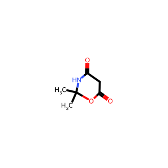 CC1(C)NC(=O)CC(=O)O1